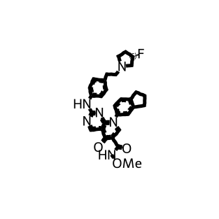 CONC(=O)c1cn(-c2ccc3c(c2)CCC3)c2nc(Nc3ccc(CCN4CC[C@H](F)C4)cc3)ncc2c1=O